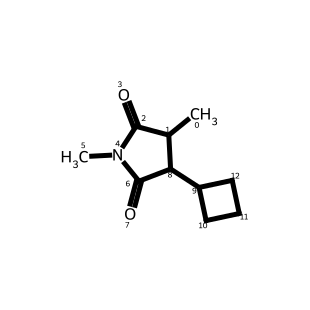 CC1C(=O)N(C)C(=O)C1C1CCC1